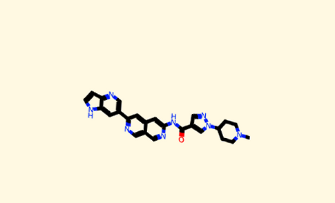 CN1CCC(n2cc(C(=O)Nc3cc4cc(-c5cnc6cc[nH]c6c5)ncc4cn3)cn2)CC1